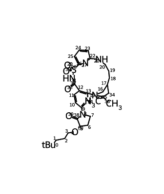 CC(C)(C)CCCO[C@H]1CCN(c2ccc3c(n2)N2CC(CCCNc4cccc(n4)S(=O)(=O)NC3=O)CC2(C)C)C1=O